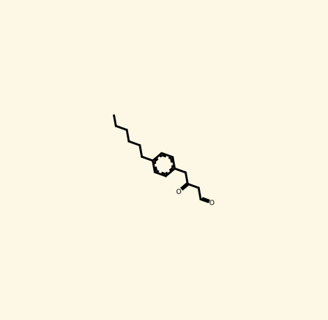 CCCCCCc1ccc(CC(=O)CC=O)cc1